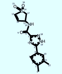 Cc1ccc(-c2nc(C(=O)NC3C=CS(=O)(=O)C3)n[nH]2)cc1C